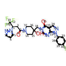 O=C(C[C@@H](n1cccn1)C(F)(F)F)N1CCC(O)(Cn2cnc3c(cnn3-c3ccc(F)cc3)c2=O)CC1